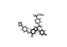 COC(=O)N1CCN(C(=O)c2oc3cc(OC4CCN(C5CCC5)CC4)c(Cl)cc3c2-c2ccc(F)cc2)CC1